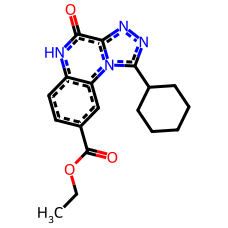 CCOC(=O)c1ccc2[nH]c(=O)c3nnc(C4CCCCC4)n3c2c1